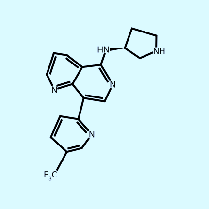 FC(F)(F)c1ccc(-c2cnc(N[C@H]3CCNC3)c3cccnc23)nc1